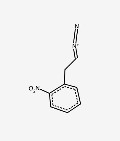 [N-]=[N+]=CCc1ccccc1[N+](=O)[O-]